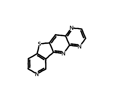 c1cc2sc3cc4nccnc4nc3c2cn1